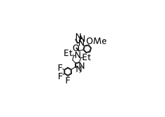 CCC1Cc2c(nn(C)c2-c2cc(F)c(F)c(F)c2)C(CC)N1C(=O)c1cccc(OC)c1-n1ccnn1